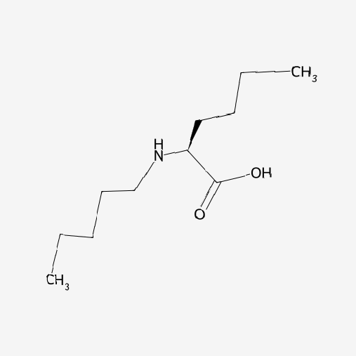 CCCCCN[C@@H](CCCC)C(=O)O